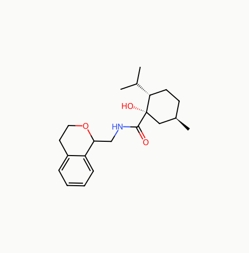 CC(C)[C@@H]1CC[C@@H](C)C[C@@]1(O)C(=O)NCC1OCCc2ccccc21